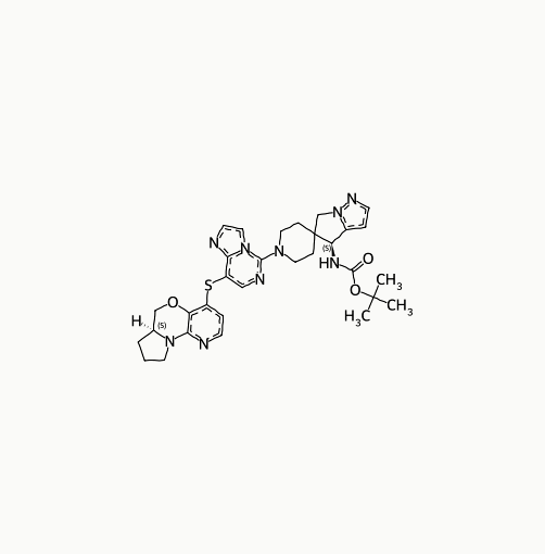 CC(C)(C)OC(=O)N[C@@H]1c2ccnn2CC12CCN(c1ncc(Sc3ccnc4c3OC[C@@H]3CCCN43)c3nccn13)CC2